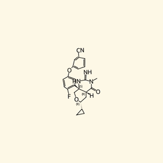 CN1C(=N)N[C@@]2(c3cc(Oc4cccc(C#N)c4)ccc3F)CO[C@@H](C3CC3)C[C@H]2C1=O